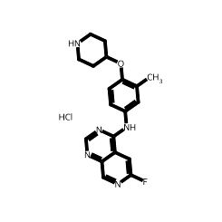 Cc1cc(Nc2ncnc3cnc(F)cc23)ccc1OC1CCNCC1.Cl